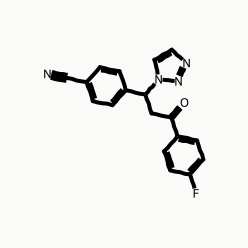 N#Cc1ccc(C(CC(=O)c2ccc(F)cc2)n2ccnn2)cc1